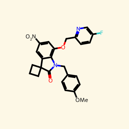 COc1ccc(CN2C(=O)C3(CCC3)c3cc([N+](=O)[O-])cc(OCc4ccc(F)cn4)c32)cc1